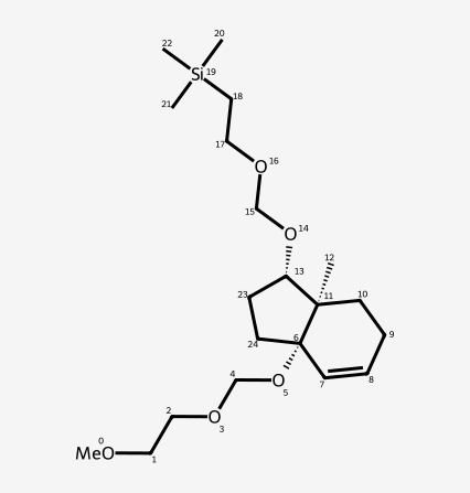 COCCOCO[C@@]12C=CCC[C@]1(C)[C@@H](OCOCC[Si](C)(C)C)CC2